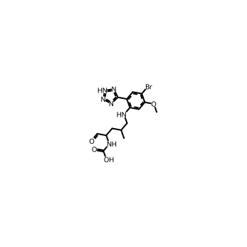 COc1cc(NCC(C)CC(C=O)NC(=O)O)c(-c2nn[nH]n2)cc1Br